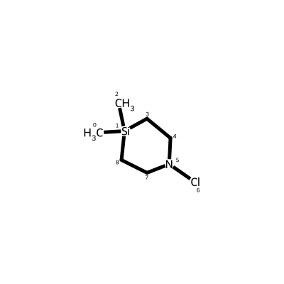 C[Si]1(C)CCN(Cl)CC1